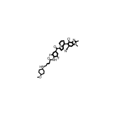 COC1CCC(NC/C=C/C(=O)Nc2c(F)cc(C(=O)c3ccc4c(-c5c(C#N)cc6c(nc(C)n6C)c5Cl)cccn34)cc2F)CC1